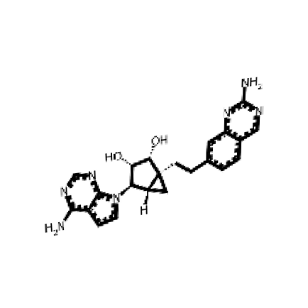 Nc1ncc2ccc(CC[C@]34C[C@@H]3[C@@H](n3ccc5c(N)ncnc53)[C@H](O)[C@@H]4O)cc2n1